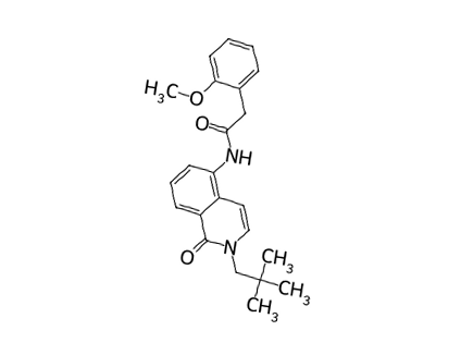 COc1ccccc1CC(=O)Nc1cccc2c(=O)n(CC(C)(C)C)ccc12